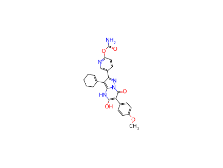 COc1ccc(-c2c(O)[nH]c3c(C4=CCCCC4)c(-c4ccc(OC(N)=O)nc4)nn3c2=O)cc1